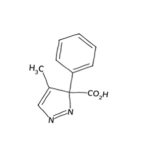 CC1=CN=NC1(C(=O)O)c1ccccc1